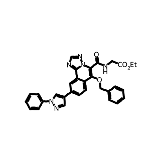 CCOC(=O)CNC(=O)c1c(OCc2ccccc2)c2ccc(-c3cnn(-c4ccccc4)c3)cc2c2ncnn12